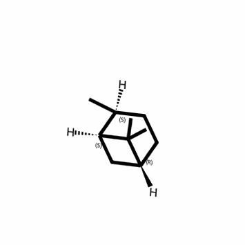 C[C@H]1CC[C@@H]2C[C@@H]1C2(C)C